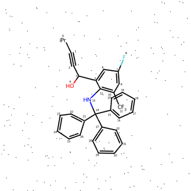 CC(C)C#CC(O)c1cc(F)cc(C(F)(F)F)c1NC(c1ccccc1)(c1ccccc1)c1ccccc1